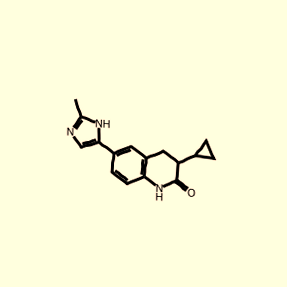 Cc1ncc(-c2ccc3c(c2)CC(C2CC2)C(=O)N3)[nH]1